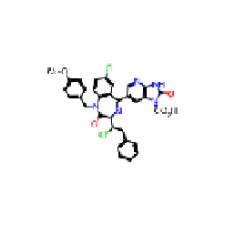 COc1ccc(CN2C(=O)C(C(Cl)Cc3ccccc3)N=C(c3cnc4[nH]c(=O)n(C(=O)O)c4c3)c3cc(Cl)ccc32)cc1